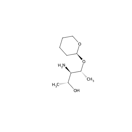 C[C@@H](O)[C@@H](N)[C@@H](C)O[C@H]1CCCCO1